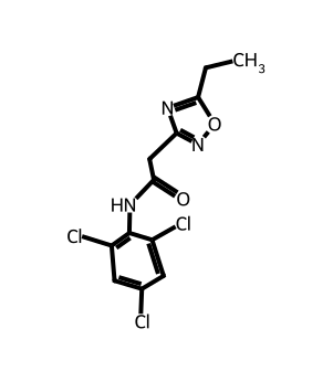 CCc1nc(CC(=O)Nc2c(Cl)cc(Cl)cc2Cl)no1